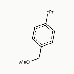 [CH2]OCc1ccc(CCC)cc1